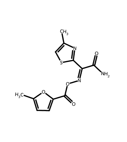 Cc1csc(/C(=N\OC(=O)c2ccc(C)o2)C(N)=O)n1